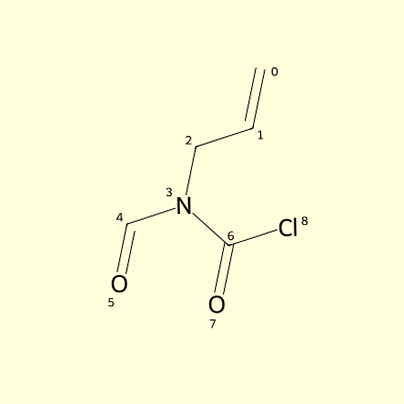 C=CCN(C=O)C(=O)Cl